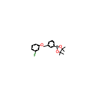 CC1(C)OB(c2cccc(COc3cccc(F)c3)c2)OC1(C)C